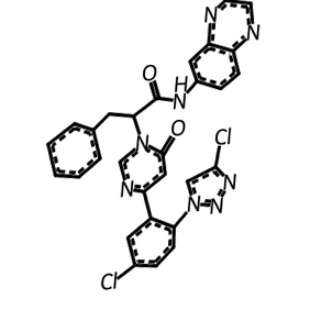 O=C(Nc1ccc2nccnc2c1)C(Cc1ccccc1)n1cnc(-c2cc(Cl)ccc2-n2cc(Cl)nn2)cc1=O